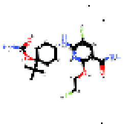 CC(C)(C)[C@]1(OC(N)=O)CC[C@H](Nc2nc(OCCF)c(C(N)=O)cc2F)CC1